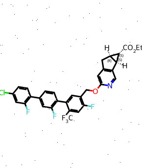 CCOC(=O)[C@H]1[C@@H]2Cc3cc(OCc4cc(-c5ccc(-c6ccc(Cl)cc6F)cc5F)c(C(F)(F)F)cc4F)ncc3[C@@H]21